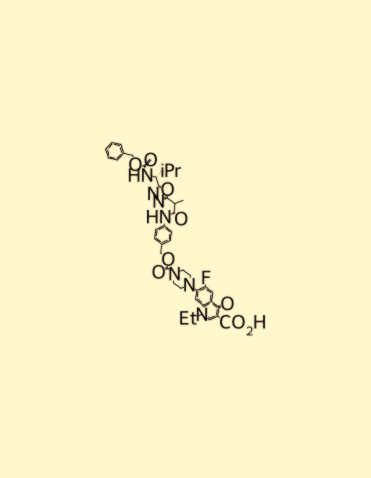 CCn1cc(C(=O)O)c(=O)c2cc(F)c(N3CCN(C(=O)OCc4ccc(NC(=O)C(C)c5nnc([C@H](NC(=O)OCc6ccccc6)C(C)C)o5)cc4)CC3)cc21